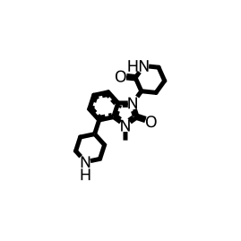 Cn1c(=O)n(C2CCCNC2=O)c2cccc(C3CCNCC3)c21